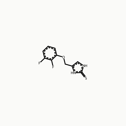 Fc1cccc(OCc2c[nH]c(=S)[nH]2)c1F